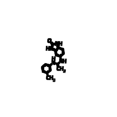 C=C(Nc1cccc(C)c1)Nc1ccc2[nH]c(=O)[nH]c2c1